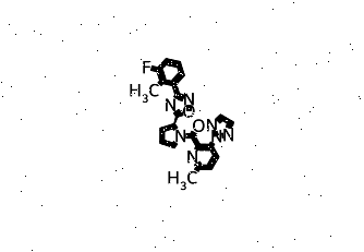 Cc1ccc(-n2nccn2)c(C(=O)N2CCC[C@H]2c2nc(-c3cccc(F)c3C)no2)n1